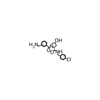 NCc1cccc(C(=O)N2C[C@H](O)C[C@H]2C(=O)NCc2ccc(Cl)cc2)c1